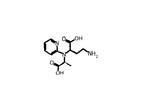 C[C@@H](C(=O)O)N(c1ccccn1)C(CCN)C(=O)O